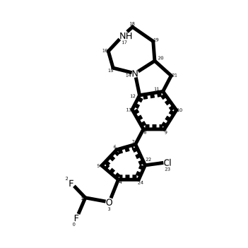 FC(F)Oc1ccc(-c2ccc3c(c2)N2CCNCCC2C3)c(Cl)c1